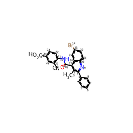 Cc1c(-c2ccccc2)nc2ccc(Br)cc2c1C(=O)Nc1ccc(C(=O)O)cc1C#N